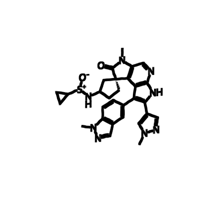 CN1C(=O)[C@@]2(CCC(N[S+]([O-])C3CC3)C2)c2c1cnc1[nH]c(-c3cnn(C)c3)c(-c3ccc4c(cnn4C)c3)c21